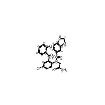 NC(=O)CN(c1ccc(Cl)cc1C(O)c1ccccc1Cl)S(=O)(=O)c1ccc2c(c1)OCO2